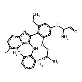 CCc1cc(OC(N)C=O)cc(OCC(N)=O)c1-c1nc2ccc(F)cn2c1Nc1c(C)cccc1C